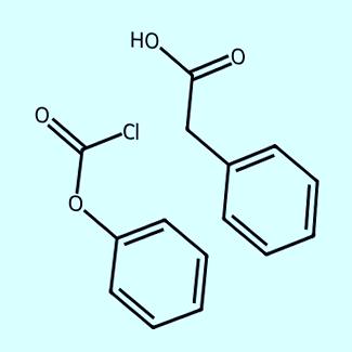 O=C(Cl)Oc1ccccc1.O=C(O)Cc1ccccc1